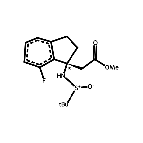 COC(=O)C[C@]1(N[S+]([O-])C(C)(C)C)CCc2cccc(F)c21